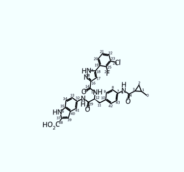 CC1CC1C(=O)Nc1ccc(C[C@H](NC(=O)c2cc(-c3cccc(Cl)c3F)[nH]n2)C(=O)Nc2ccc3[nH]c(C(=O)O)cc3c2)cc1